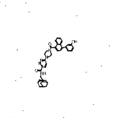 O=C(NCC12CC3CC(CC(C3)C1)C2)c1ccc(N2CCN(C(=O)c3ccc(-c4cccc(O)c4)c4ccccc34)CC2)nn1